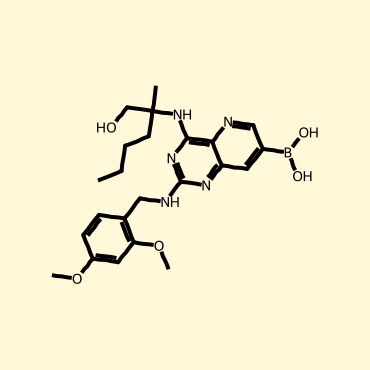 CCCCC(C)(CO)Nc1nc(NCc2ccc(OC)cc2OC)nc2cc(B(O)O)cnc12